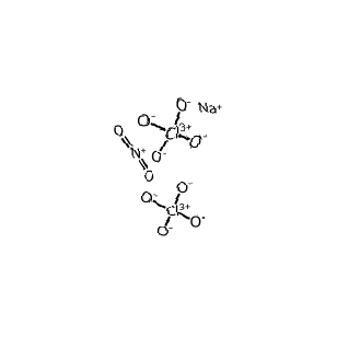 O=[N+]=O.[Na+].[O-][Cl+3]([O-])([O-])[O-].[O-][Cl+3]([O-])([O-])[O-]